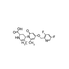 CC1=CNC(C(=O)O)CC1n1c(C)cc(OCc2ncc(F)cc2F)cc1=O